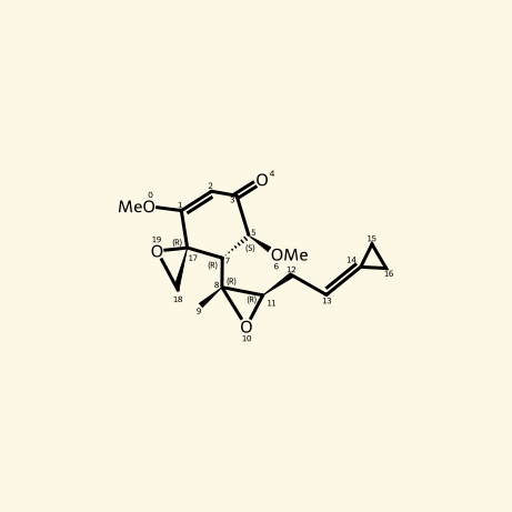 COC1=CC(=O)[C@@H](OC)[C@H]([C@@]2(C)O[C@@H]2CC=C2CC2)[C@@]12CO2